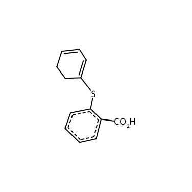 O=C(O)c1ccccc1SC1=CC=CCC1